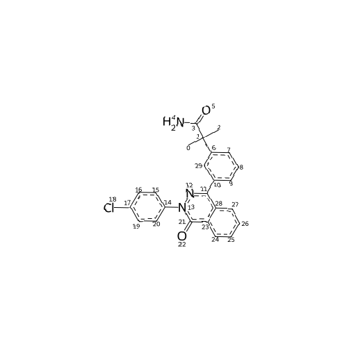 CC(C)(C(N)=O)c1cccc(-c2nn(-c3ccc(Cl)cc3)c(=O)c3ccccc23)c1